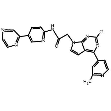 Cc1cc(-c2nc(Cl)nc3c2ccn3CC(=O)Nc2ccc(-c3cnccn3)cn2)ccn1